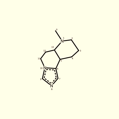 CN1CCCC2c3cncn3CCC21